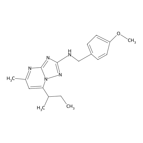 CCC(C)c1cc(C)nc2nc(NCc3ccc(OC)cc3)nn12